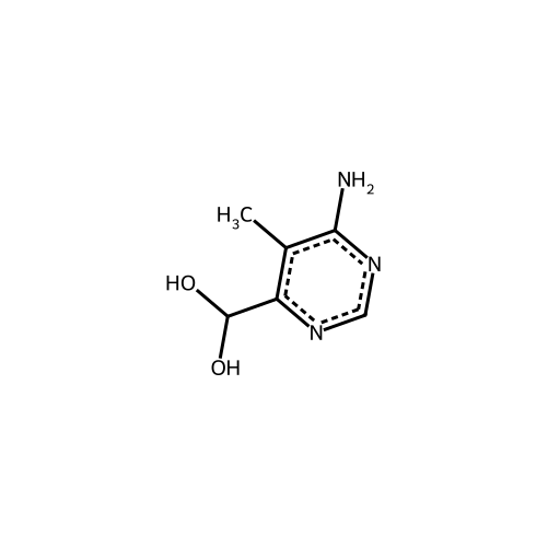 Cc1c(N)ncnc1C(O)O